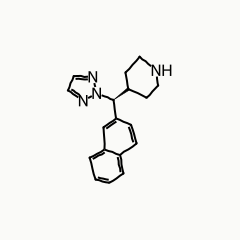 c1ccc2cc([C@H](C3CCNCC3)n3nccn3)ccc2c1